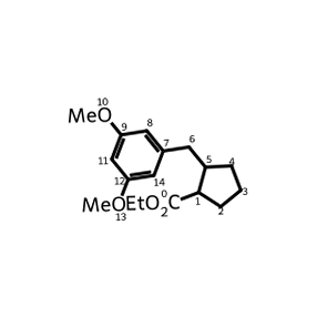 CCOC(=O)C1CCCC1Cc1cc(OC)cc(OC)c1